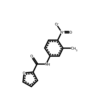 Cc1cc(NC(=O)c2ccco2)ccc1[N+](=O)[O-]